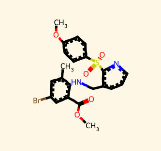 COC(=O)c1cc(Br)cc(C)c1NCc1cccnc1S(=O)(=O)c1ccc(OC)cc1